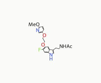 COc1ccc(OCCOc2cc3c(CCNC(C)=O)c[nH]c3cc2F)cn1